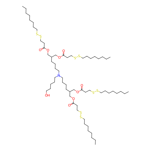 CCCCCCCCSSCCC(=O)OCC(CCCCN(CCCCCO)CCCCC(COC(=O)CCSSCCCCCCCC)COC(=O)CCSSCCCCCCCC)COC(=O)CCSSCCCCCCCC